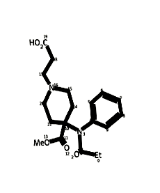 CCC(=O)N(c1ccccc1)C1(C(=O)OC)CCN(CCC(=O)O)CC1